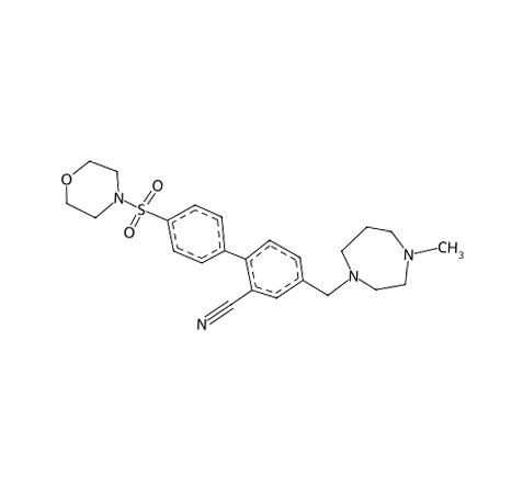 CN1CCCN(Cc2ccc(-c3ccc(S(=O)(=O)N4CCOCC4)cc3)c(C#N)c2)CC1